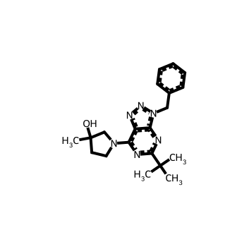 CC1(O)CCN(c2nc(C(C)(C)C)nc3c2nnn3Cc2ccccc2)C1